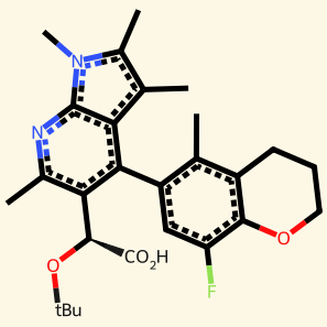 Cc1nc2c(c(C)c(C)n2C)c(-c2cc(F)c3c(c2C)CCCO3)c1[C@H](OC(C)(C)C)C(=O)O